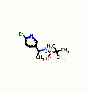 CC(N[S+]([O-])C(C)(C)C)c1ccc(Br)nc1